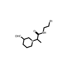 CC(C)CCNC(=O)C(C)N1CCCC(C=O)C1